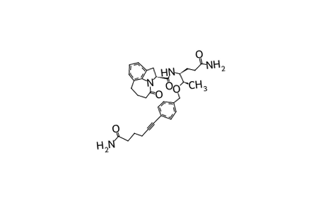 C[C@@H](OCc1ccc(C#CCCCC(N)=O)cc1)[C@H](CCC(N)=O)NC(=O)[C@@H]1Cc2cccc3c2N1C(=O)CCC3